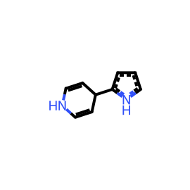 C1=CC(c2ccc[nH]2)C=CN1